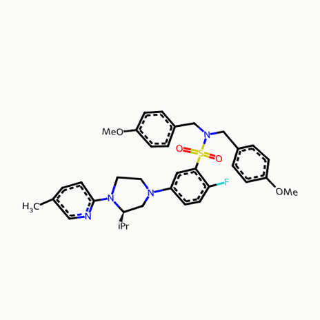 COc1ccc(CN(Cc2ccc(OC)cc2)S(=O)(=O)c2cc(N3CCN(c4ccc(C)cn4)[C@H](C(C)C)C3)ccc2F)cc1